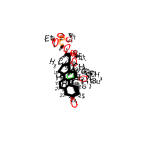 CCOP(=O)(COCC(=O)[C@@]1(OC(=O)CC)[C@@H](C)C[C@H]2[C@@H]3CCC4=CC(=O)C=C[C@]4(C)[C@@]3(Cl)[C@@H](O[Si](C)(C)C(C)(C)C)C[C@@]21C)OCC